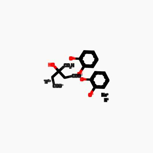 O=C([O-])CC(O)(CC(=O)[O-])C(=O)O.[K+].[Na+].[O-]c1ccccc1[O-].[O-]c1ccccc1[O-].[Ti+4]